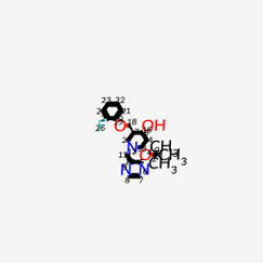 CC(C)(C)Oc1nccnc1CN1CCC(O)[C@H](COc2ccccc2F)C1